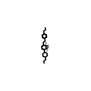 CCCc1ccc(CCC2=CC=C(C3CCC(CCC)CC3)C(F)(F)C2(F)F)cc1